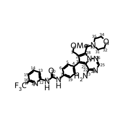 COCc1c(-c2ccc(NC(=O)Nc3cccc(C(F)(F)F)n3)cc2)c2c(N)ncnn2c1CN1CCOCC1